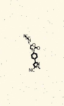 Cn1nc(-c2ccc(N3C[C@H](CN=[N+]=[N-])OC3=O)cc2)cc1C#N